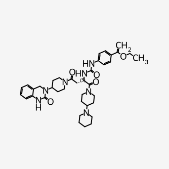 C=C(OCC)c1ccc(NC(=O)N[C@@H](CC(=O)N2CCC(N3Cc4ccccc4NC3=O)CC2)C(=O)N2CCC(N3CCCCC3)CC2)cc1